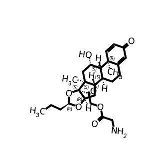 CCC[C@@H]1O[C@@H]2C[C@H]3[C@@H]4CCC5=CC(=O)C=C[C@]5(C)[C@H]4[C@@H](O)C[C@]3(C)[C@]2(C(=O)COC(=O)CN)O1